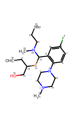 CN1CCN(c2ccc(F)cc2C(SC(CO)CC=O)N(C)CCC(C)(C)C)CC1